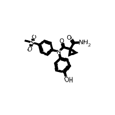 CS(=O)(=O)c1ccc(N(C(=O)C2(C(N)=O)CC2)c2ccc(O)cc2)cc1